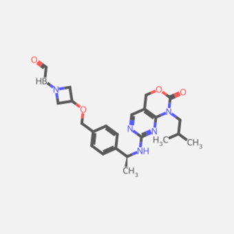 CC(C)CN1C(=O)OCc2cnc(N[C@@H](C)c3ccc(COC4CN(BC=O)C4)cc3)nc21